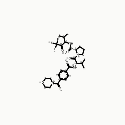 CC(C)C(NC(=O)[C@@H]1CCCN1C(=O)[C@@H](NC(=O)c1ccc(C(=O)N2CCOCC2)cc1)C(C)C)C(=O)C(F)(F)F